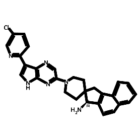 N[C@@H]1c2ccc3ccccc3c2CC12CCN(c1cnc3c(-c4ccc(Cl)cn4)c[nH]c3n1)CC2